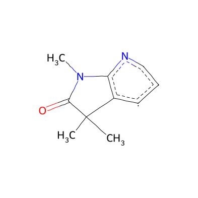 CN1C(=O)C(C)(C)c2[c]ccnc21